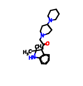 CC1(C)Nc2ccccc2C1C(=O)CN1CCC(N2CCCCC2)CC1